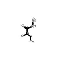 CCCNC(=O)C(CC(C)(C)C)C(C)(C)C